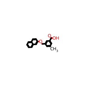 Cc1cc(COc2ccc3ccccc3c2)cc(C(=O)O)c1